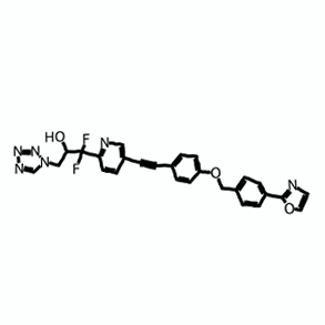 OC(Cn1cnnn1)C(F)(F)c1ccc(C#Cc2ccc(OCc3ccc(-c4ncco4)cc3)cc2)cn1